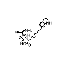 N#C/C(=C/N)C(=N)C1(C(=O)NC(CCOCCCCc2ccc3c(n2)NCCC3)C(=O)O)CC1